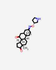 C[C@]12CC/C(=N\O[C@@H]3CCNC3)CC1CC(=O)[C@@H]1[C@@H]2CC[C@]2(C)C(=O)CC[C@@H]12